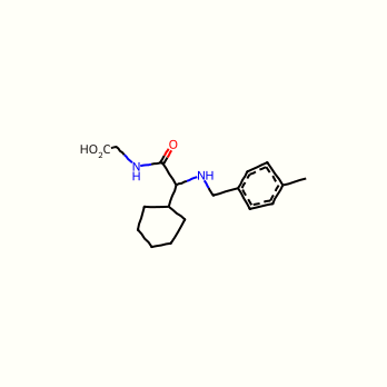 Cc1ccc(CNC(C(=O)NCC(=O)O)C2CCCCC2)cc1